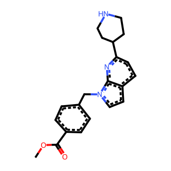 COC(=O)c1ccc(Cn2ccc3ccc(C4CCNCC4)nc32)cc1